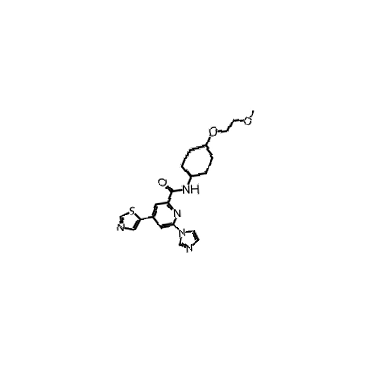 COCCOC1CCC(NC(=O)c2cc(-c3cncs3)cc(-n3ccnc3)n2)CC1